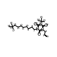 C=CCn1c(=O)n(CCCCCCCCC(C)(C)C)c(=O)n(C(C)(C)C)c1=O